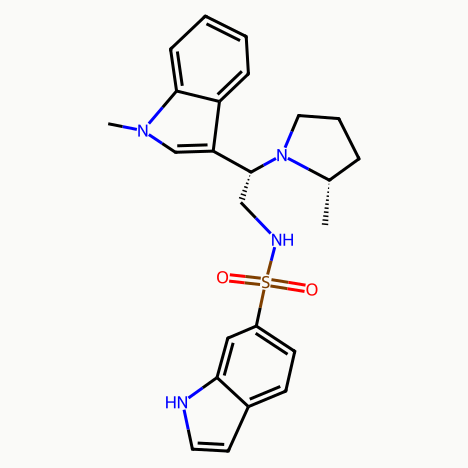 C[C@H]1CCCN1[C@H](CNS(=O)(=O)c1ccc2cc[nH]c2c1)c1cn(C)c2ccccc12